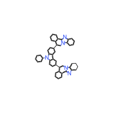 C1=c2nc3c4ccccc4c(-c4ccc5c(c4)c4cc(-c6cn7c8ccccc8nc7c7ccccc67)ccc4n5-c4ccccc4)cn3c2=CCC1